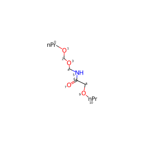 CCCOCOCNC(=O)COCCC